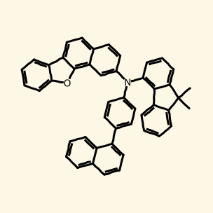 CC1(C)c2ccccc2-c2c(N(c3ccc(-c4cccc5ccccc45)cc3)c3ccc4ccc5c6ccccc6oc5c4c3)cccc21